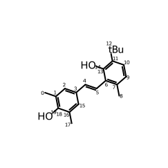 Cc1cc(C=Cc2c(C)ccc(C(C)(C)C)c2O)cc(C)c1O